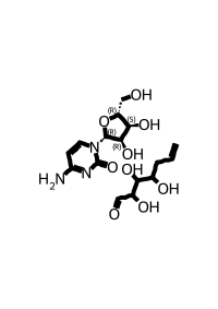 C=CCC(O)C(O)C(O)C=O.Nc1ccn([C@@H]2O[C@H](CO)[C@@H](O)[C@H]2O)c(=O)n1